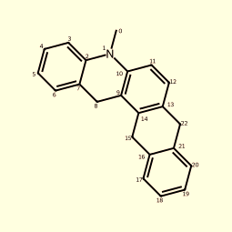 CN1c2ccccc2Cc2c1ccc1c2Cc2ccccc2C1